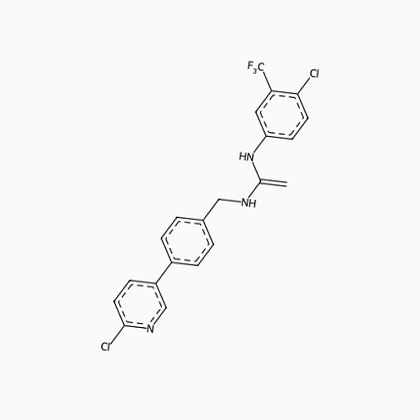 C=C(NCc1ccc(-c2ccc(Cl)nc2)cc1)Nc1ccc(Cl)c(C(F)(F)F)c1